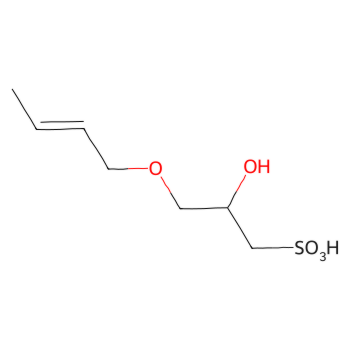 CC=CCOCC(O)CS(=O)(=O)O